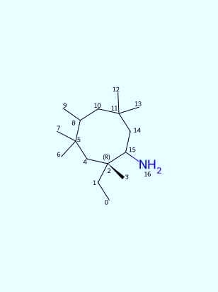 CC[C@]1(C)CC(C)(C)C(C)CC(C)(C)CC1N